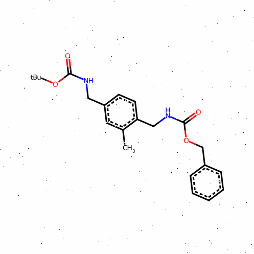 Cc1cc(CNC(=O)OC(C)(C)C)ccc1CNC(=O)OCc1ccccc1